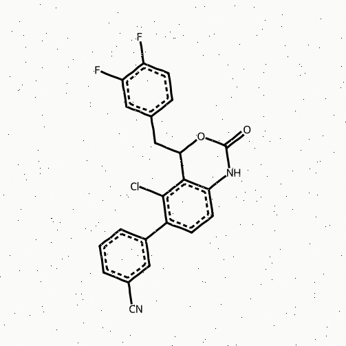 N#Cc1cccc(-c2ccc3c(c2Cl)C(Cc2ccc(F)c(F)c2)OC(=O)N3)c1